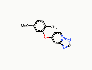 COc1[c]cc(C)c(Oc2ccn3ncnc3c2)c1